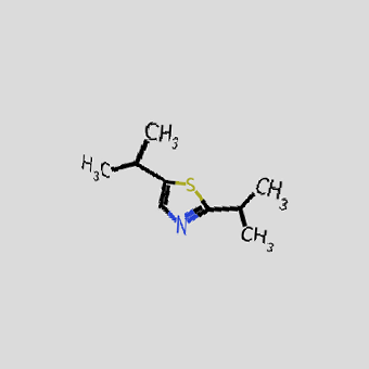 CC(C)c1cnc(C(C)C)s1